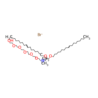 CCCCCCCCC=CCCCCCCCCOCC(C[N+](C)(C)CCOCCOCCOCCOCCOCCO)OCCCCCCCCC=CCCCCCCCC.[Br-]